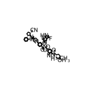 CC(C)c1ccccc1[C@@H]1CC[C@H](CC#N)C1N1CC2(CCN(c3ccc(C(=O)NS(=O)(=O)c4cc5c(c([N+](=O)[O-])c4)N[C@@H]([C@H]4CC[C@](C)(O)CC4)CO5)c(Oc4cnc5[nH]cc(F)c5c4)c3)CC2)C1